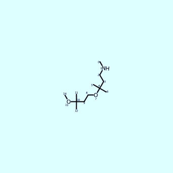 CNCCC(C)(C)OCCC(C)(C)OC